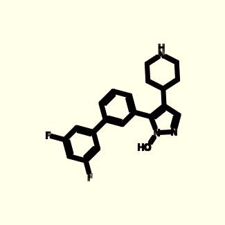 On1ncc(C2CCNCC2)c1-c1cccc(-c2cc(F)cc(F)c2)c1